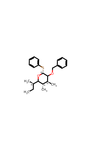 CC[C@@H](C)C1O[C@H](Sc2ccccc2)C(OCc2ccccc2)[C@@H](C)[C@@H]1C